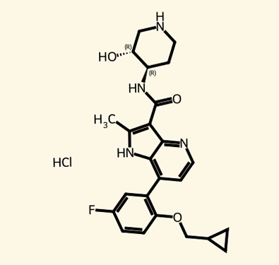 Cc1[nH]c2c(-c3cc(F)ccc3OCC3CC3)ccnc2c1C(=O)N[C@@H]1CCNC[C@H]1O.Cl